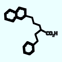 O=C(O)C(CCCc1ccc2ccccc2c1)CCc1ccccc1